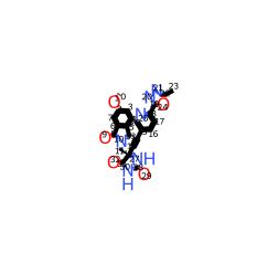 COc1ccc2c(c1)C(=O)N(C[C@@]1(C#Cc3ccc(-c4nnc(C)o4)nc3)NC(=O)NC1=O)C2